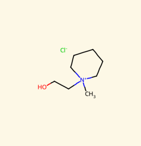 C[N+]1(CCO)CCCCC1.[Cl-]